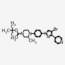 C[C@H]1CN(C(=O)OC(C)(C)C)CCN1c1ccc(-n2cc(Br)c(-c3ccncc3)n2)cc1